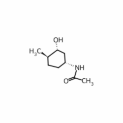 CC(=O)N[C@@H]1CC[C@@H](C)[C@H](O)C1